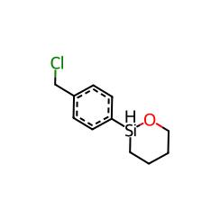 ClCc1ccc([SiH]2CCCCO2)cc1